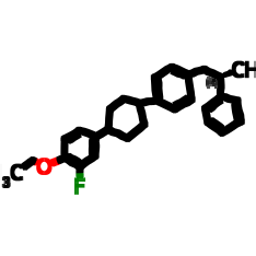 CCOc1ccc(C2CCC(c3ccc(C[C@@H](C)c4ccccc4)cc3)CC2)cc1F